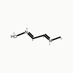 CN=CC=NO